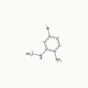 O=C(O)Nc1cc(Br)ccc1[N+](=O)[O-]